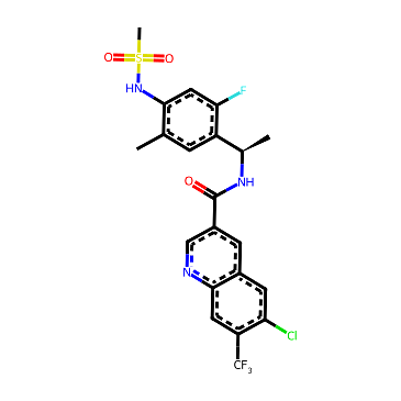 Cc1cc([C@@H](C)NC(=O)c2cnc3cc(C(F)(F)F)c(Cl)cc3c2)c(F)cc1NS(C)(=O)=O